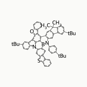 CC(C)(C)c1ccc(N2B3c4cc5c(cc4-n4c6ccc(C(C)(C)C)cc6c6c7oc8ccccc8c7c(c3c64)-c3cc4c(cc32)-c2cc(C(C)(C)C)ccc2C4(C)C)sc2ccccc25)cc1